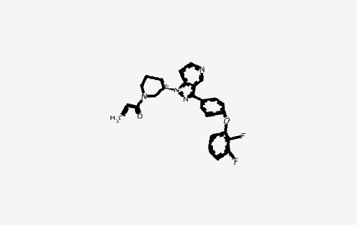 C=CC(=O)N1CCC[C@@H](n2nc(-c3ccc(Oc4cccc(F)c4F)cc3)c3cnccc32)C1